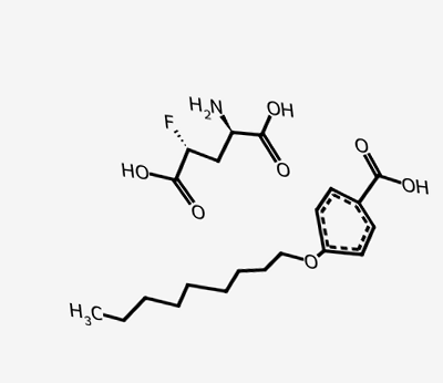 CCCCCCCCCOc1ccc(C(=O)O)cc1.N[C@H](C[C@@H](F)C(=O)O)C(=O)O